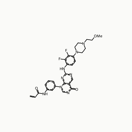 C=CC(=O)Nc1cccc(-n2cnc(=O)c3cnc(Nc4ccc(N5CCN(CCOC)CC5)c(F)c4F)nc32)c1